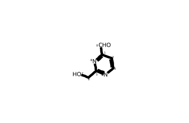 O=Cc1ccnc(CO)n1